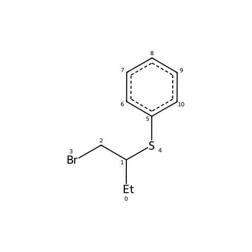 CCC(CBr)Sc1ccccc1